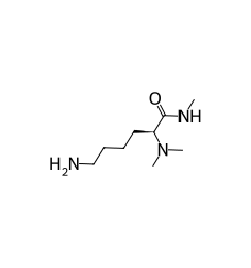 CNC(=O)[C@H](CCCCN)N(C)C